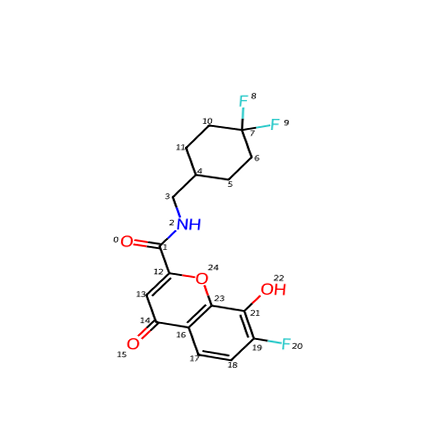 O=C(NCC1CCC(F)(F)CC1)c1cc(=O)c2ccc(F)c(O)c2o1